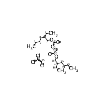 CCCCC(CC)COC(=O)OOC(=O)OCC(CC)CCCC.ClC=C(Cl)Cl